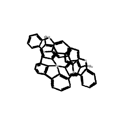 CC(C)(C)c1ccc2c(c1)Sc1cc(C(C)(C)C)ccc1[Si]21c2c(cccc2N2c3ccccc3Sc3ccccc32)-c2cccc(N3c4ccccc4Sc4ccccc43)c21